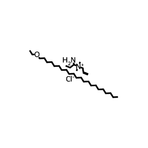 C=CC[N+](C)(C)C(N)CC.CCCCCCCCCCCCCCCCCCCCCCOCC.[Cl-]